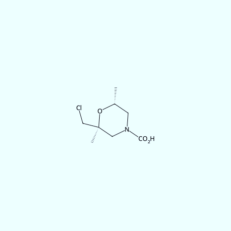 C[C@@H]1CN(C(=O)O)C[C@@](C)(CCl)O1